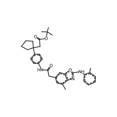 Cc1ccccc1Nc1nc2c(C)cc(CC(=O)Nc3ccc(C4(CC(=O)OC(C)(C)C)CCCC4)cc3)cc2o1